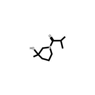 CC(C)C(=O)N1CCCC(C)(O)C1